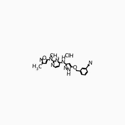 Cc1cc(N(C)c2nccc(Nc3cc(OCc4cccc(C#N)c4)[nH]n3)n2)on1.Cl